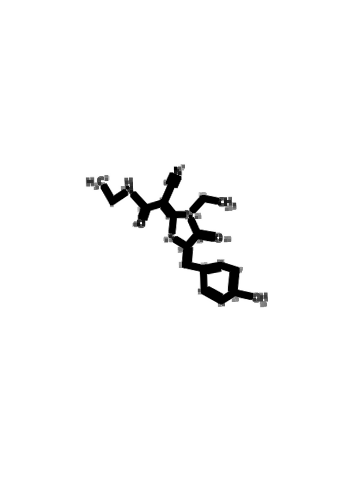 CCNC(=O)/C(C#N)=c1\sc(=Cc2ccc(O)cc2)c(=O)n1CC